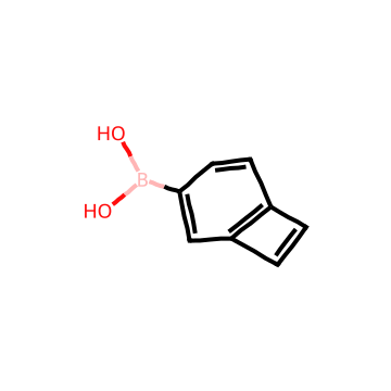 OB(O)c1ccc2c(c1)C=C2